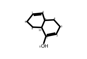 OC1=CCCC2C=CCCC12